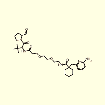 CC(C)(C)C(NC(=O)CCOCCOCCNC(=O)C1(Cc2cccc(N)n2)CCCCC1)C(=O)N1CCC[C@H]1C=O